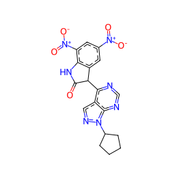 O=C1Nc2c(cc([N+](=O)[O-])cc2[N+](=O)[O-])C1c1ncnc2c1cnn2C1CCCC1